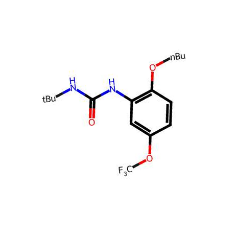 CCCCOc1ccc(OC(F)(F)F)cc1NC(=O)NC(C)(C)C